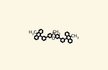 Cc1c2ccccc2c(-c2cccc(-c3ccc4c(c3)Oc3cc(-c5cccc(-c6c7ccccc7c(C)c7ccccc67)c5)ccc3N4C)c2)c2ccccc12